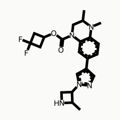 CC1NCC1n1cc(-c2ccc3c(c2)N(C(=O)OC2CC(F)(F)C2)CC(C)N3C)cn1